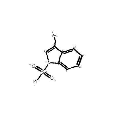 CC(=O)c1cn(S(=O)(=O)C(C)C)c2ccccc12